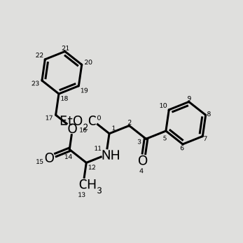 CCOC(=O)C(CC(=O)c1ccccc1)NC(C)C(=O)OCc1ccccc1